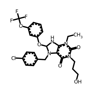 CCn1c2c(c(=O)n(CCCO)c1=O)N(Cc1ccc(Cl)cc1)C(Oc1cccc(OC(F)(F)F)c1)N2